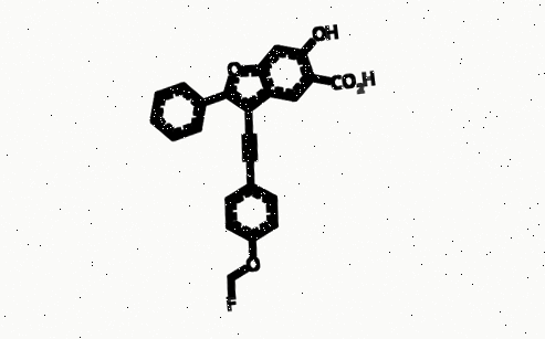 O=C(O)c1cc2c(C#Cc3ccc(OCF)cc3)c(-c3ccccc3)oc2cc1O